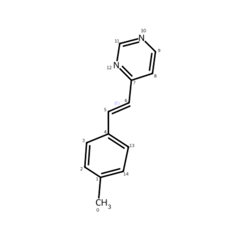 Cc1ccc(/C=C/c2ccncn2)cc1